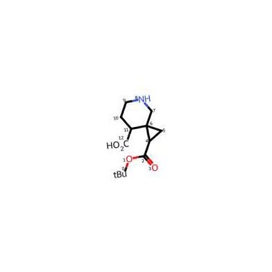 CC(C)(C)OC(=O)C1CC12CNCCC2C(=O)O